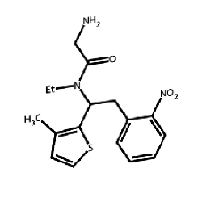 CCN(C(=O)CN)C(Cc1ccccc1[N+](=O)[O-])c1sccc1C